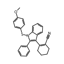 COc1ccc(Sn2c(-c3ccccc3)c(C3=C(C#N)CCCC3)c3ccccc32)cc1